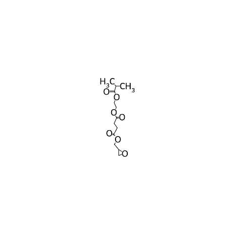 CC(C)C(=O)OCCOC(=O)CCC(=O)OCC1CO1